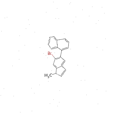 CC1C=Cc2cc(-c3cccc4ccccc34)c(Br)cc21